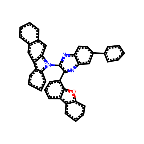 c1ccc(-c2ccc3nc(-n4c5ccccc5c5cc6ccccc6cc54)c(-c4cccc5c4oc4ccccc45)nc3c2)cc1